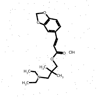 CCN(CC)CC(C)(C)COC(=O)C=Cc1ccc2c(c1)OCO2.Cl